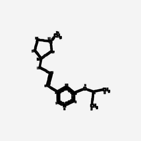 CC(C)Oc1cncc(C=CCC2CCN(C)C2)c1